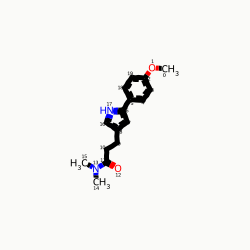 COc1ccc(-c2cc(CCC(=O)N(C)C)c[nH]2)cc1